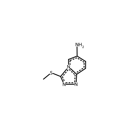 CSc1nnc2ccc(N)cn12